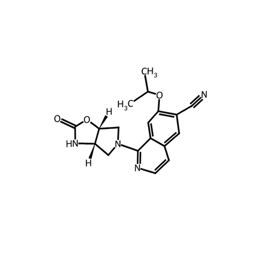 CC(C)Oc1cc2c(N3C[C@@H]4NC(=O)O[C@@H]4C3)nccc2cc1C#N